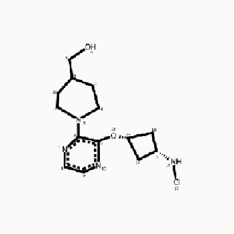 OCC1CCN(c2nccnc2O[C@H]2C[C@@H](NCl)C2)CC1